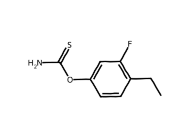 CCc1ccc(OC(N)=S)cc1F